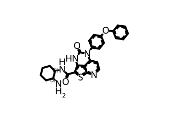 N[C@H]1CCCC[C@H]1NC(=O)c1sc2nccc3c2c1NC(=O)N3c1ccc(Oc2ccccc2)cc1